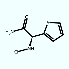 NC(=O)[C@H](NCl)c1cccs1